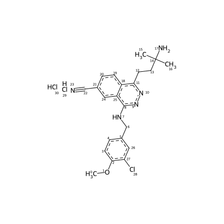 COc1ccc(CNc2nnc(CCC(C)(C)N)c3ccc(C#N)cc23)cc1Cl.Cl.Cl